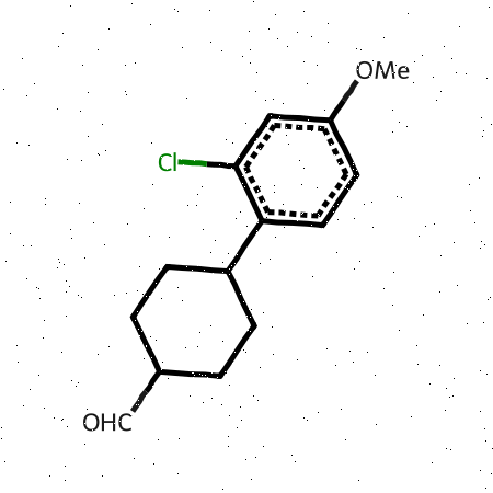 COc1ccc(C2CCC(C=O)CC2)c(Cl)c1